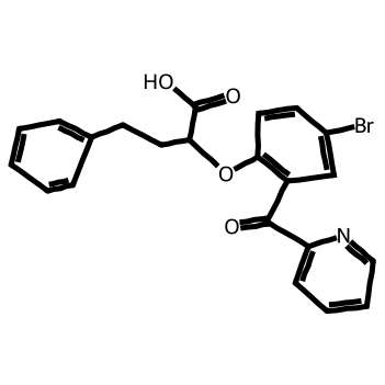 O=C(c1ccccn1)c1cc(Br)ccc1OC(CCc1ccccc1)C(=O)O